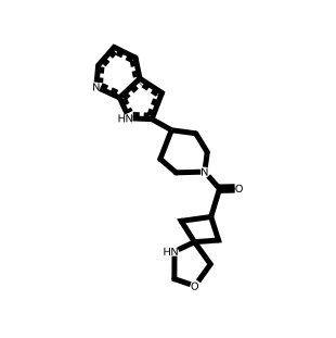 O=C(C1CC2(COCN2)C1)N1CCC(c2cc3cccnc3[nH]2)CC1